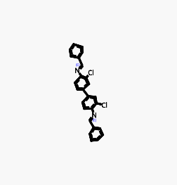 Clc1cc(-c2ccc(/N=C/c3ccccc3)c(Cl)c2)ccc1/N=C/c1ccccc1